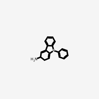 NC1C=c2c(n(-c3ccccc3)c3ccccc23)=CC1